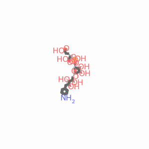 Nc1ccc(C[C@H](O)[C@H](O)[C@H](O)CO[C@H]2O[C@H](COP(=O)(O)O[C@@H](CCC(=O)O)C(=O)O)[C@@H](O)[C@H]2O)cc1